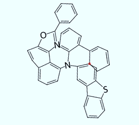 C1=CCCC(c2ccccc2N(c2ccc3sc4ccccc4c3c2)c2cccc3ccc4oc(-c5ccccc5)nc4c23)=C1